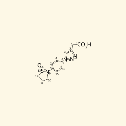 O=C(O)Cc1cn(-c2ccc(N3CCC[S+]3[O-])cc2)nn1